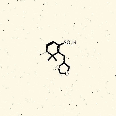 C[C@@H]1C=CC(S(=O)(=O)O)=C(CC2COCO2)C1(C)C